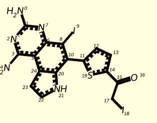 Nc1nc(N)c2c(n1)c(I)c(-c1ccc(C(=O)CI)s1)c1[nH]ccc12